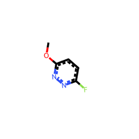 COc1ccc(F)nn1